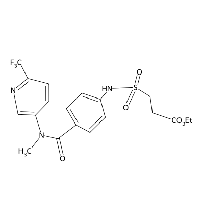 CCOC(=O)CCS(=O)(=O)Nc1ccc(C(=O)N(C)c2ccc(C(F)(F)F)nc2)cc1